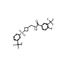 O=C(NCC1CC(S(=O)(=O)c2cccc(C(F)(F)F)c2)C1)c1ccc(F)c(C(F)(F)F)c1